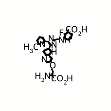 Cc1cccc(-c2nc(CNc3cccc(C(=O)O)c3F)[nH]c2-c2ccc3ncc(OCC[C@H](N)C(=O)O)cc3c2)n1